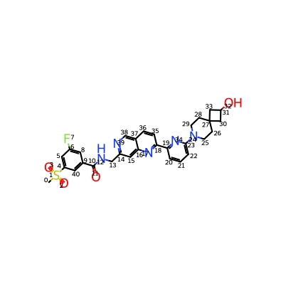 CS(=O)(=O)c1cc(F)cc(C(=O)NCc2cc3nc(-c4cccc(N5CCC6(CC5)CC(O)C6)n4)ccc3cn2)c1